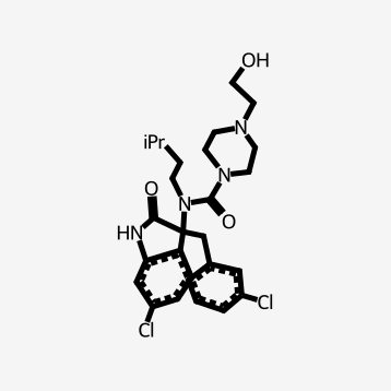 CC(C)CCN(C(=O)N1CCN(CCO)CC1)C1(Cc2cccc(Cl)c2)C(=O)Nc2cc(Cl)ccc21